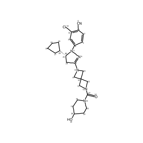 N#Cc1ccc(N2N=C(N3CC4(CN(C(=O)N5CCC(O)CC5)C4)C3)C[C@@H]2C2CCCC2)cc1Cl